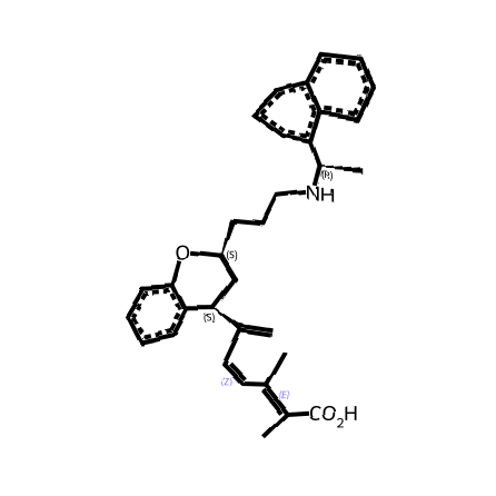 C=C(/C=C\C(C)=C(/C)C(=O)O)[C@@H]1C[C@H](CCCN[C@H](C)c2cccc3ccccc23)Oc2ccccc21